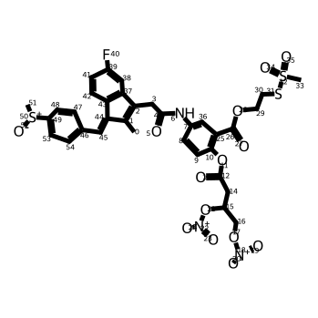 CC1=C(CC(=O)Nc2ccc(OC(=O)CC(CO[N+](=O)[O-])O[N+](=O)[O-])c(C(=O)OCCSS(C)(=O)=O)c2)c2cc(F)ccc2/C1=C\c1ccc([S+](C)[O-])cc1